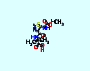 CCOC(=O)Nc1scnc1C(=O)NC(C)(C)C(=O)O